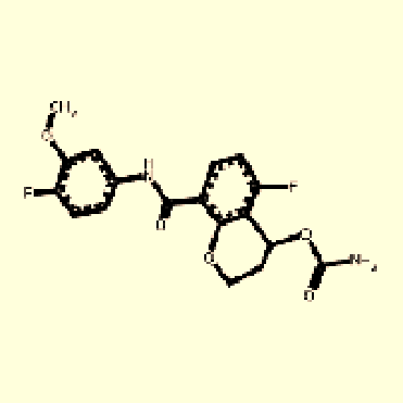 COc1cc(NC(=O)c2ccc(F)c3c2OCCC3OC(N)=O)ccc1F